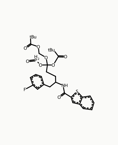 CC(C)(C)C(=O)OCOC(CCC(Cc1cccc(F)c1)NC(=O)c1cc2ccccc2s1)(O[PH2]=O)OC(=O)C(C)(C)C